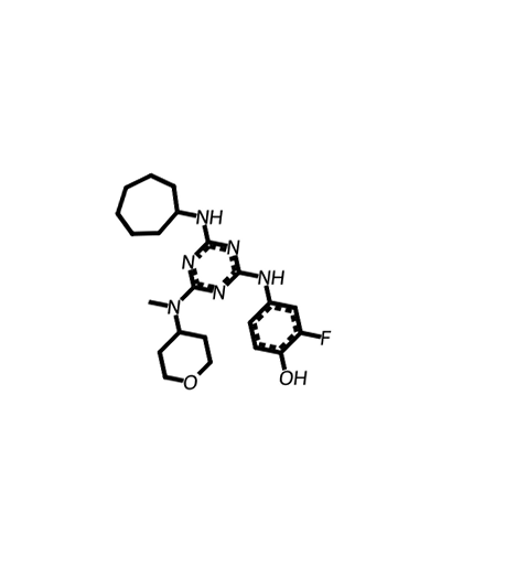 CN(c1nc(Nc2ccc(O)c(F)c2)nc(NC2CCCCCC2)n1)C1CCOCC1